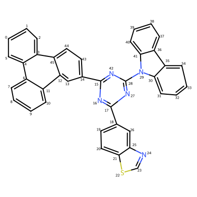 c1ccc2c(c1)c1ccccc1c1cc(-c3nc(-c4ccc5scnc5c4)nc(-n4c5ccccc5c5ccccc54)n3)ccc21